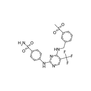 CS(=O)(=O)c1cccc(CNc2nc(Nc3ccc(S(N)(=O)=O)cc3)ncc2C(F)(F)F)c1